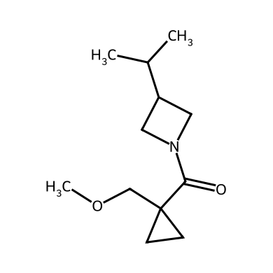 COCC1(C(=O)N2CC(C(C)C)C2)CC1